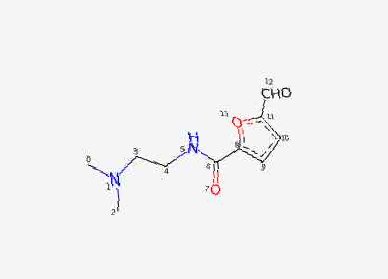 CN(C)CCNC(=O)c1ccc(C=O)o1